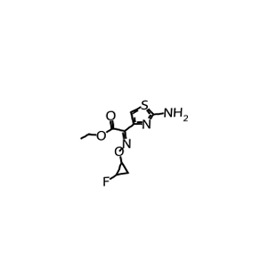 CCOC(=O)C(=NOC1CC1F)c1csc(N)n1